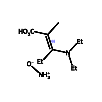 CC/C(=C(/C)C(=O)O)N(CC)CC.[NH3+][O-]